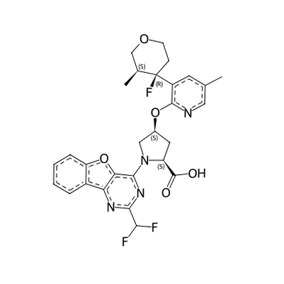 Cc1cnc(O[C@H]2C[C@@H](C(=O)O)N(c3nc(C(F)F)nc4c3oc3ccccc34)C2)c([C@@]2(F)CCOC[C@@H]2C)c1